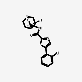 O=C(N[C@H]1CN2CCC1CC2)c1ncc(-c2ccccc2Cl)s1